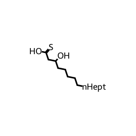 CCCCCCCCCCCCC(O)CC(O)=S